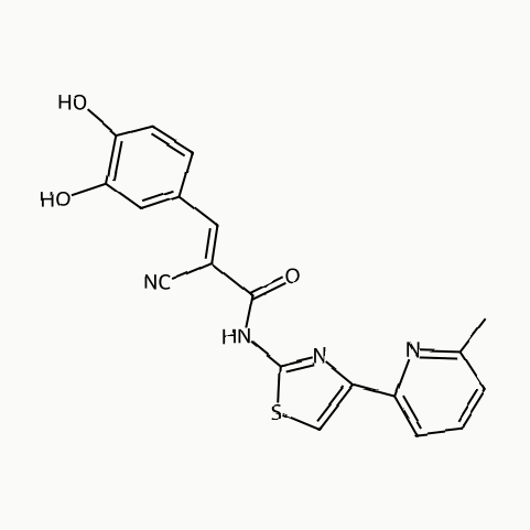 Cc1cccc(-c2csc(NC(=O)/C(C#N)=C/c3ccc(O)c(O)c3)n2)n1